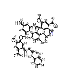 C=C(C)c1cc(OC)c(OCc2cc(COc3cc(/N=C\[C@@H](C)Cc4ccccc4C)c(C(C)=O)cc3OC)cc(NC)c2)cc1NC[C@@H](C)Cc1ccccc1C